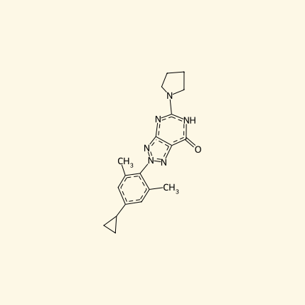 Cc1cc(C2CC2)cc(C)c1-n1nc2nc(N3CCCC3)[nH]c(=O)c2n1